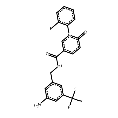 Nc1cc(CNC(=O)c2ccc(=O)n(-c3ccccc3F)c2)cc(C(F)(F)F)c1